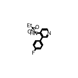 CCS(=O)(=O)Nc1ccncc1-c1ccc(F)cc1